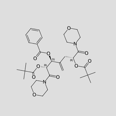 C=C(C[C@@H](OC(=O)C(C)(C)C)C(=O)N1CCOCC1)[C@H](OC(=O)c1ccccc1)[C@@H](OC(=O)C(C)(C)C)C(=O)N1CCOCC1